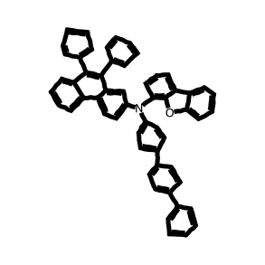 c1ccc(-c2ccc(-c3ccc(N(c4ccc5c(c4)c(-c4ccccc4)c(-c4ccccc4)c4ccccc45)c4cccc5c4oc4ccccc45)cc3)cc2)cc1